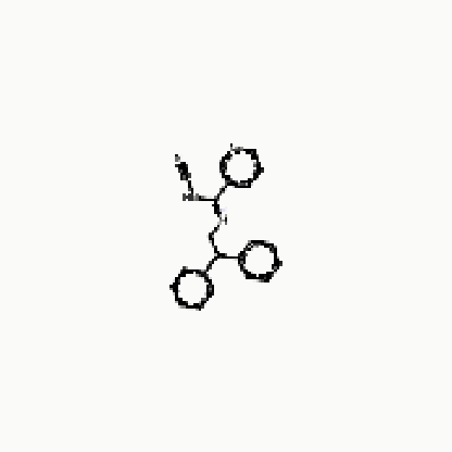 N#CN/C(=N\CC(c1ccccc1)c1ccccc1)c1cccnc1